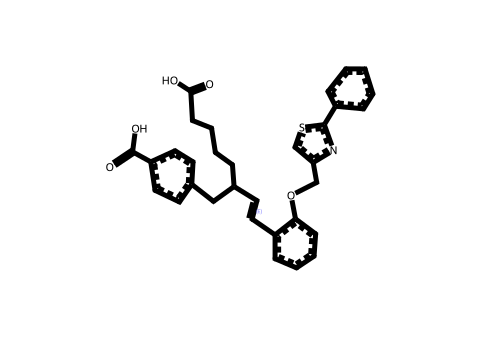 O=C(O)CCCCC(/C=C/c1ccccc1OCc1csc(-c2ccccc2)n1)Cc1ccc(C(=O)O)cc1